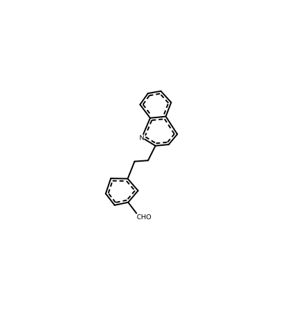 O=Cc1cccc(CCc2ccc3ccccc3n2)c1